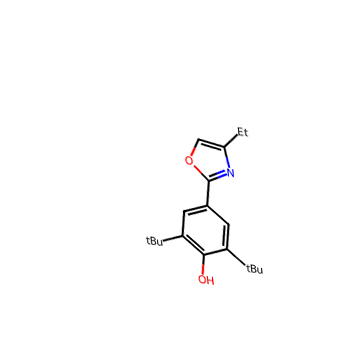 [CH2]Cc1coc(-c2cc(C(C)(C)C)c(O)c(C(C)(C)C)c2)n1